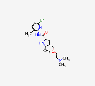 Cc1ccc(Br)nc1NC(=O)[C@@H]1C[C@H](COCCN(C)C)[C@@H](C)N1